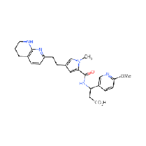 COc1ccc(C(CC(=O)O)NC(=O)c2cc(CCc3ccc4c(n3)NCCC4)cn2C)cn1